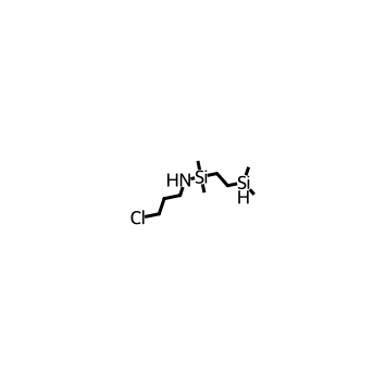 C[SiH](C)CC[Si](C)(C)NCCCCl